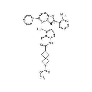 COC(=O)C1CC2(CC(C(=O)Nc3ccc(-n4c(-c5cccnc5N)nc5ccc(-c6ccccc6)nc54)c(C)c3F)C2)C1